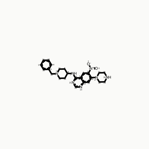 O=[N+]([O-])c1cc2c(NC3CCN(Cc4ccccc4)CC3)ncnc2cc1N1CCNCC1